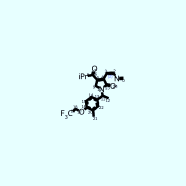 C=N/C=C\C1=C(C(=O)C(C)C)CN(C(C)c2ccc(OCC(F)(F)F)c(C)c2)C1=O